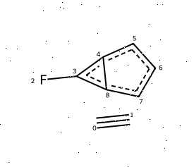 C#C.Fc1c2cccc1-2